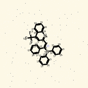 FC(F)(F)c1cc(/C=C(/B(c2ccccc2)c2ccccc2)c2ccccc2)nc2ccccc12